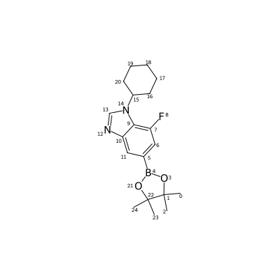 CC1(C)OB(c2cc(F)c3c(c2)ncn3C2CCCCC2)OC1(C)C